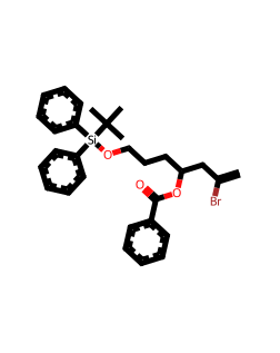 C=C(Br)CC(CCCO[Si](c1ccccc1)(c1ccccc1)C(C)(C)C)OC(=O)c1ccccc1